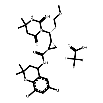 COCC[C@H]([C@@H]1C[C@H]1C(=O)NC1CC(C)(C)Oc2c(Cl)cc(Cl)cc21)N1C(=N)NC(C)(C)CC1=O.O=C(O)C(F)(F)F